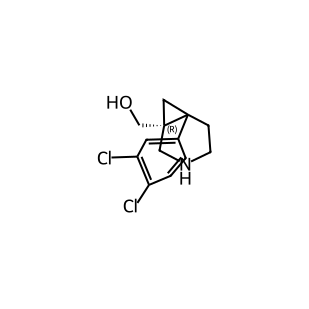 OC[C@@]12CNCCC1(c1ccc(Cl)c(Cl)c1)C2